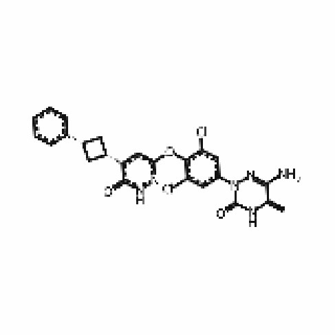 C=C1NC(=O)N(c2cc(Cl)c(Oc3cc([C@H]4C[C@@H](c5ccccc5)C4)c(=O)[nH]n3)c(Cl)c2)N=C1N